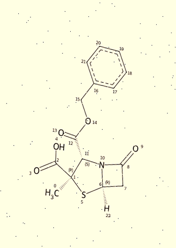 C[C@@]1(C(=O)O)S[C@@H]2CC(=O)N2[C@H]1C(=O)OCc1ccccc1